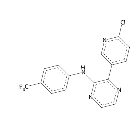 FC(F)(F)c1ccc(Nc2nccnc2-c2ccc(Cl)nc2)cc1